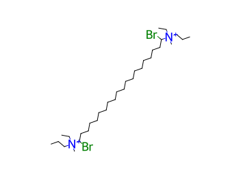 CCC[N+](C)(CC)C(Br)CCCCCCCCCCCCCCCCCCC(Br)[N+](C)(CC)CCC